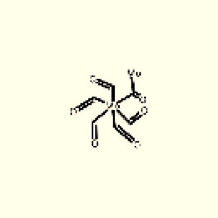 O=[CH][Mo]([CH]=O)([CH]=O)([CH]=O)([CH]=O)[C](=O)[Mo]